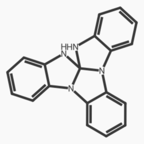 c1ccc2c(c1)NC13Nc4ccccc4N1c1ccccc1N23